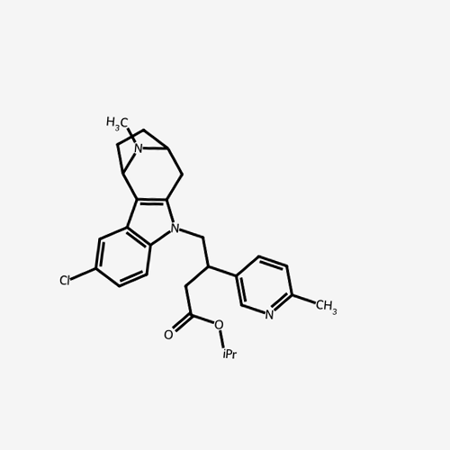 Cc1ccc(C(CC(=O)OC(C)C)Cn2c3c(c4cc(Cl)ccc42)C2CCC(C3)N2C)cn1